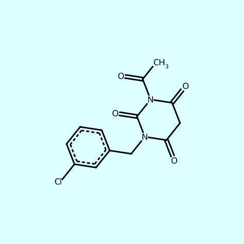 CC(=O)N1C(=O)CC(=O)N(Cc2cccc(Cl)c2)C1=O